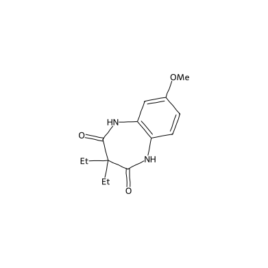 CCC1(CC)C(=O)Nc2ccc(OC)cc2NC1=O